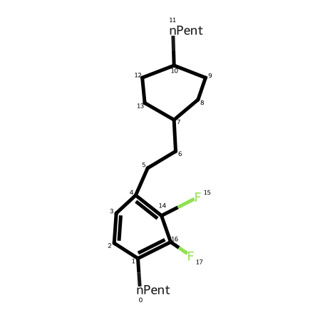 CCCCCc1ccc(CCC2CCC(CCCCC)CC2)c(F)c1F